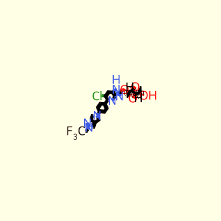 O[C@@H]1CO[C@H]2[C@@H]1OC[C@H]2Oc1nc2nc(-c3ccc(N4Cc5cn(CC(F)(F)F)nc5C4)cc3)c(Cl)cc2[nH]1